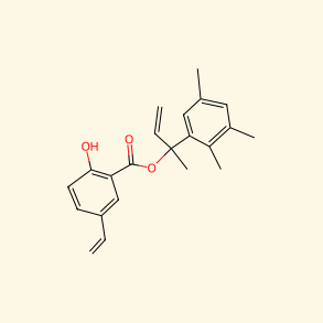 C=Cc1ccc(O)c(C(=O)OC(C)(C=C)c2cc(C)cc(C)c2C)c1